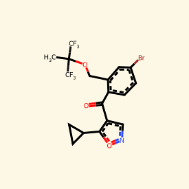 CC(OCc1cc(Br)ccc1C(=O)c1cnoc1C1CC1)(C(F)(F)F)C(F)(F)F